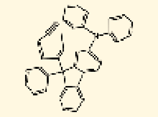 C#C/C=C\C(=C/C)C1(c2ccccc2)c2ccccc2-c2ccc(N(c3ccccc3)c3ccccc3)cc21